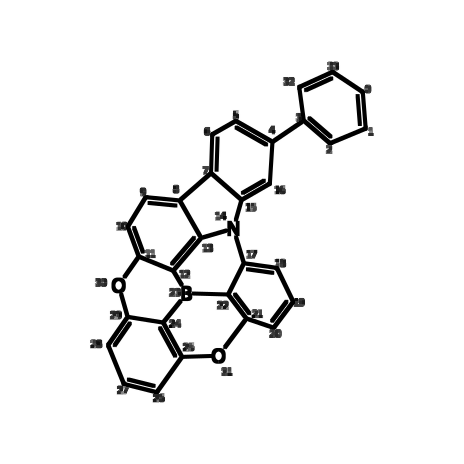 c1ccc(-c2ccc3c4ccc5c6c4n(c3c2)-c2cccc3c2B6c2c(cccc2O5)O3)cc1